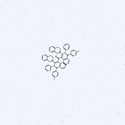 Cc1ccc(N2c3ccncc3C(C(=O)C3=C(N4CCc5ccccc5C4)C(c4ccccc4)N(c4ccc(C)cc4)c4ccncc43)=C(N3CCc4ccccc4C3)C2c2ccccc2)cc1